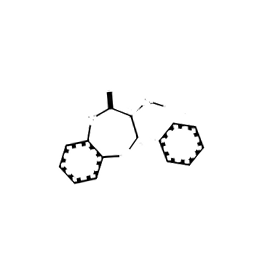 O=C(O)N[C@@H]1C(=O)Nc2ccccc2O[C@H]1c1ccccc1